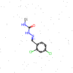 CCNC(=O)N/N=C/c1ccc(Cl)cc1Cl